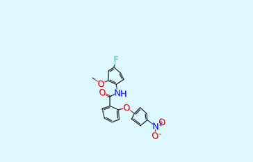 COc1cc(F)ccc1NC(=O)c1ccccc1Oc1ccc([N+](=O)[O-])cc1